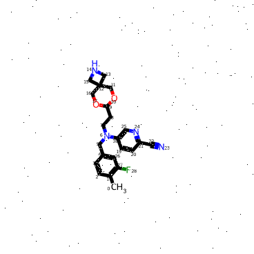 Cc1ccc(CN(CCC2OCC3(CNC3)CO2)c2ccc(C#N)nc2)cc1F